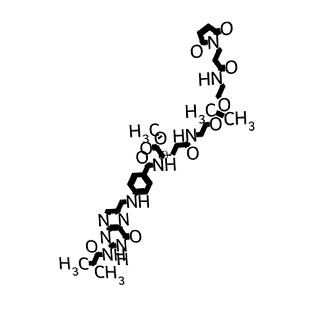 COC(=O)[C@H](CCC(=O)NCCOC(C)(C)OCCNC(=O)CCN1C(=O)C=CC1=O)NC(=O)c1ccc(NCc2cnc3nc(NC(=O)C(C)C)[nH]c(=O)c3n2)cc1